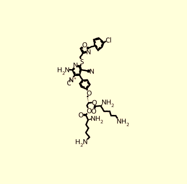 [C-]#[N+]c1c(N)nc(SCc2coc(-c3ccc(Cl)cc3)n2)c(C#N)c1-c1ccc(OC[C@@H](COC(=O)[C@@H](N)CCCCN)OC(=O)[C@@H](N)CCCCN)cc1